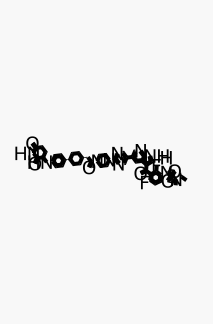 CCN(C)S(=O)(=O)Nc1ccc(F)c(C(=O)c2c[nH]c3ncc(-c4cnc(N5CCN(C(=O)C[C@H]6CC[C@@H](c7ccc(NC8CCC(=O)NC8=O)cc7)CC6)CC5)nc4)cc23)c1F